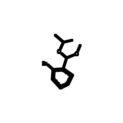 COC(OC(C)C)c1ccccc1Br